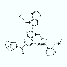 C/N=C/c1nccnc1N1CC(Cn2c(-c3cc4cccnc4n3CC3CC3)nc3cc(C(=O)N4CC5CC6CC4[C@H]65)cc(OC)c32)C1